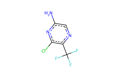 Nc1cnc(C(F)(F)F)c(Cl)n1